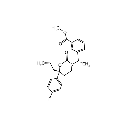 C=CC[C@]1(c2ccc(F)cc2)CCN([C@@H](C)c2cccc(C(=O)OC)c2)C(=O)O1